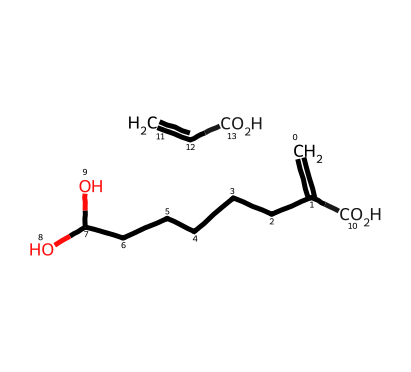 C=C(CCCCCC(O)O)C(=O)O.C=CC(=O)O